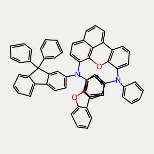 c1ccc(N(c2ccccc2)c2cccc3c2Oc2c(N(c4ccc5c(c4)C(c4ccccc4)(c4ccccc4)c4ccccc4-5)c4cccc5c4oc4ccccc45)ccc4cccc-3c24)cc1